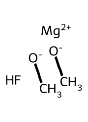 C[O-].C[O-].F.[Mg+2]